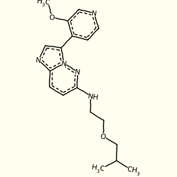 COc1cnccc1-c1cnc2ccc(NCCOCC(C)C)nn12